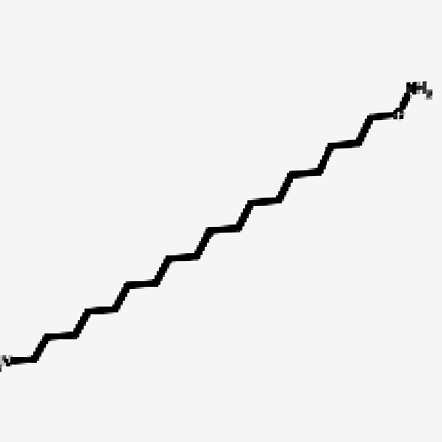 NCCCCCCCCCCCCCCCCCCON